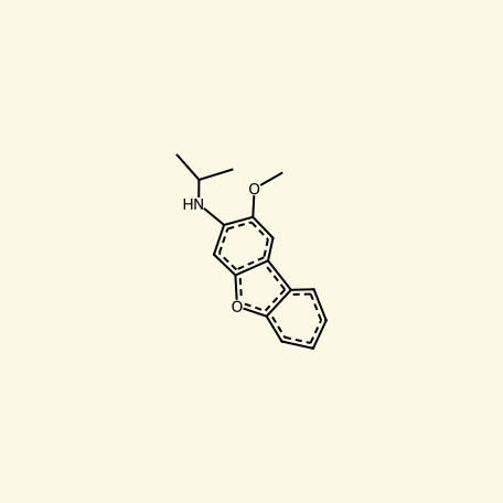 COc1cc2c(cc1NC(C)C)oc1ccccc12